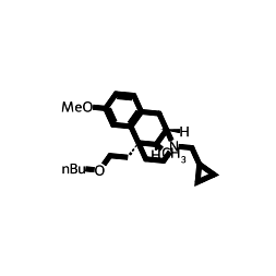 CCCCOCC[C@]12CCN(CC3CC3)[C@@H](Cc3ccc(OC)cc31)[C@H]2C